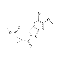 COC(=O)[C@H]1C[C@H]1C(=O)c1cc2cc(Br)c(OC)cc2s1